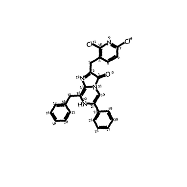 O=c1c(Cc2ccc(Cl)nc2Cl)nc2c(Cc3ccccc3)[nH]c(-c3ccccc3)cn1-2